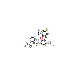 Cc1ccc(C(=O)Nc2cccc(C(N)=O)c2)c(Oc2ccc(F)cc2C)n1